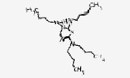 CCCCNC1=NC(N(CCCC)CCCC)=NCN1NCCCC